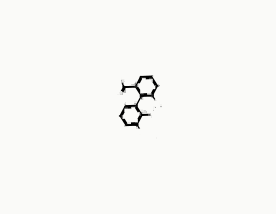 Cc1cccc(-c2c(Br)cccc2C(=O)O)c1C